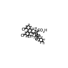 CCC(CNS(=O)(=O)c1ccc(C)cc1)N1C(=O)C(C)(CC(=O)O)CC(c2cccc(Cl)c2)C1c1ccc(Cl)cc1